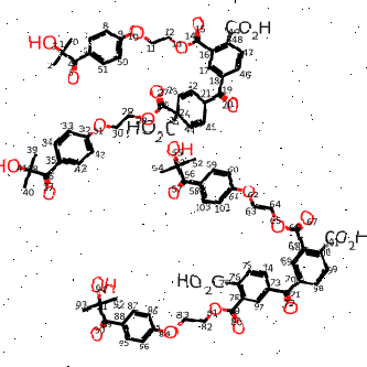 CC(C)(O)C(=O)c1ccc(OCCOC(=O)c2cc(C(=O)C3C=CC(C(=O)O)(C(=O)OCCOc4ccc(C(=O)C(C)(C)O)cc4)C=C3)ccc2C(=O)O)cc1.CC(C)(O)C(=O)c1ccc(OCCOC(=O)c2cc(C(=O)c3ccc(C(=O)O)c(C(=O)OCCOc4ccc(C(=O)C(C)(C)O)cc4)c3)ccc2C(=O)O)cc1